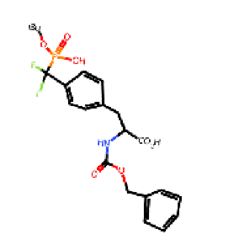 CCC(C)OP(=O)(O)C(F)(F)c1ccc(CC(NC(=O)OCc2ccccc2)C(=O)O)cc1